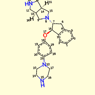 c1ccc2c(c1)C[C@@H](N1C[C@H]3CNC[C@H]3C1)[C@@H]2Oc1ccc(N2CCNCC2)cc1